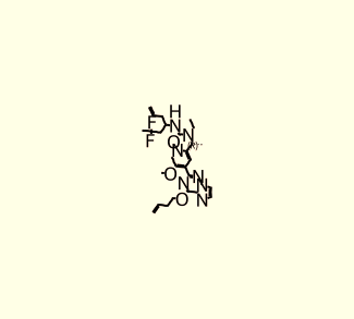 C=CCCOc1nc(-c2cc([C@@H](C)N(CC)C(=O)NC(CC=C)CC(C)(F)F)ncc2OC)nn2ccnc12